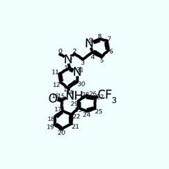 CN(CCc1ccccn1)c1ccc(NC(=O)c2ccccc2-c2ccc(C(F)(F)F)cc2)cn1